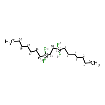 CCCCCCC[Si](F)(F)CC[Si](F)(F)CCCCCCC